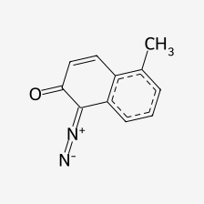 Cc1cccc2c1C=CC(=O)C2=[N+]=[N-]